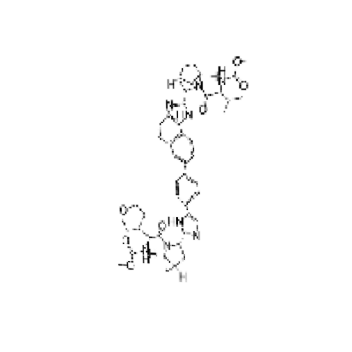 COC(=O)N[C@H](C(=O)N1[C@@H]2CC[C@@H](C2)[C@H]1c1nc2ccc3cc(-c4ccc(-c5cnc([C@@H]6C[C@H]7C[C@H]7N6C(=O)[C@@H](NC(=O)OC)C6CCOCC6)[nH]5)cc4)ccc3c2[nH]1)C(C)C